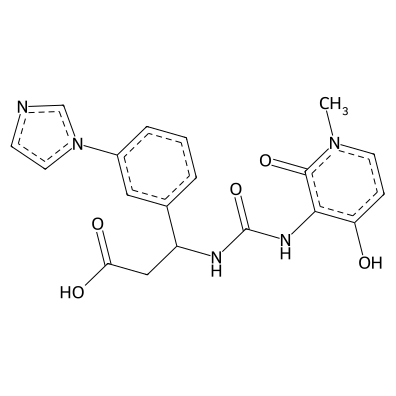 Cn1ccc(O)c(NC(=O)NC(CC(=O)O)c2cccc(-n3ccnc3)c2)c1=O